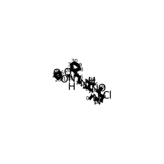 CCn1ncc(Cl)c1C(=O)N1CC2CN(CCC(NC(=O)OC3CCOC3)c3ccccc3)C[C@H]2C1